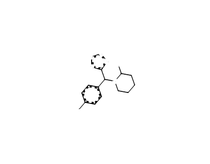 CC1CCCCN1C(c1ccc(Cl)cc1)c1nnn[nH]1